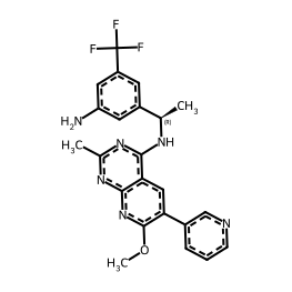 COc1nc2nc(C)nc(N[C@H](C)c3cc(N)cc(C(F)(F)F)c3)c2cc1-c1cccnc1